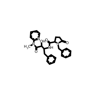 CN(C(=O)C(O)C(Cc1ccccc1)NC(=O)C1CCC(=O)N1Cc1ccccc1)c1ccccn1